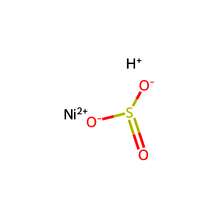 O=S([O-])[O-].[H+].[Ni+2]